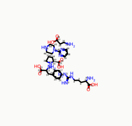 N=C(N)NCCCC(N)C(=O)O.NC(Cc1ccccc1)C(=O)O.NCCC(=O)O.O=C(O)[C@@H]1CCCN1.c1cnc(N2CCNCC2)nc1